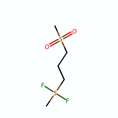 CS(F)(F)CCCS(C)(=O)=O